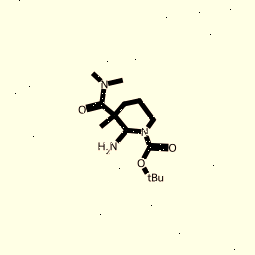 CN(C)C(=O)C1(C)CCCN(C(=O)OC(C)(C)C)C1N